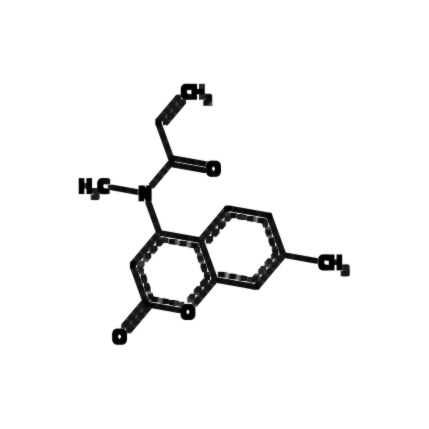 C=CC(=O)N(C)c1cc(=O)oc2cc(C)ccc12